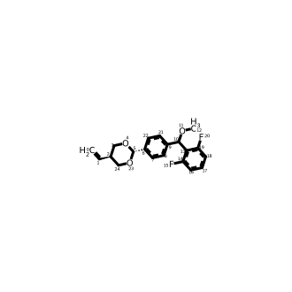 C=C[C@H]1CO[C@H](c2ccc(C(OC)c3c(F)cccc3F)cc2)OC1